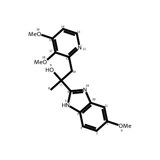 COc1ccc2[nH]c(C(C)(O)Cc3nccc(OC)c3OC)nc2c1